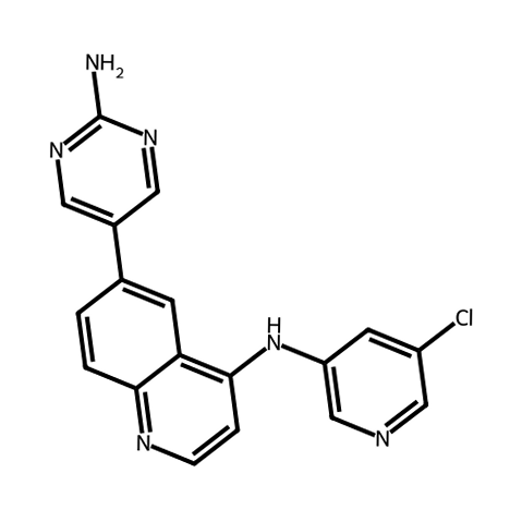 Nc1ncc(-c2ccc3nccc(Nc4cncc(Cl)c4)c3c2)cn1